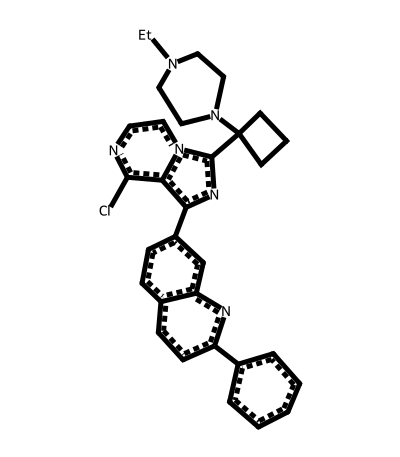 CCN1CCN(C2(c3nc(-c4ccc5ccc(-c6ccccc6)nc5c4)c4c(Cl)nccn34)CCC2)CC1